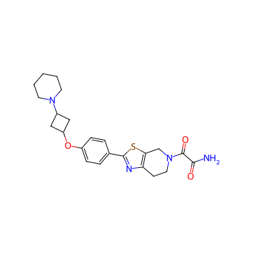 NC(=O)C(=O)N1CCc2nc(-c3ccc(OC4CC(N5CCCCC5)C4)cc3)sc2C1